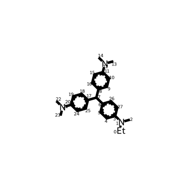 CCN(C)c1ccc(C(c2ccc(N(C)C)cc2)c2ccc(N(C)C)cc2)cc1